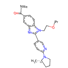 CNC(=O)c1ccc2c(c1)nc(-c1ccc(N3CCC[C@@H]3C)nc1)n2CCOC(C)C